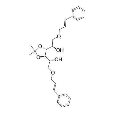 CC1(C)O[C@H]([C@H](O)COCC=Cc2ccccc2)[C@@H]([C@H](O)COCC=Cc2ccccc2)O1